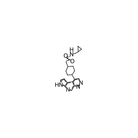 O=S(=O)(CC1CCC(c2cnnc3cnc4[nH]ccc4c23)CC1)NCC1CC1